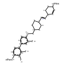 CCCCCCC1C=CC(/C=C/C2CCC(COc3ccc(-c4ccc(CCCCC)c(F)c4F)cc3F)CC2)CC1